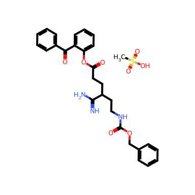 CS(=O)(=O)O.N=C(N)C(CCNC(=O)OCc1ccccc1)CCC(=O)Oc1ccccc1C(=O)c1ccccc1